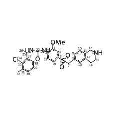 COc1cc(S(=O)(=O)Cc2ccc3c(c2)CCNC3)ccc1NC(=O)NC(C)c1cccc(C)c1Cl